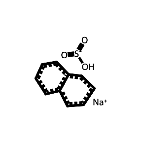 O=[S-](=O)O.[Na+].c1ccc2ccccc2c1